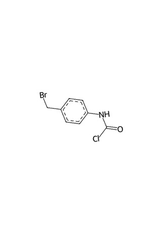 O=C(Cl)Nc1ccc(CBr)cc1